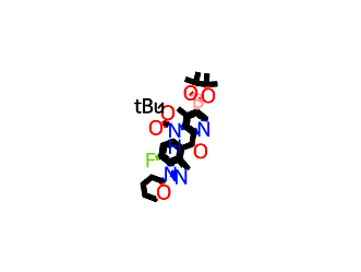 Cc1c(B2OC(C)(C)C(C)(C)O2)cnc(C(=O)c2ccc(F)c3c2cnn3C2CCCCO2)c1NC(=O)OC(C)(C)C